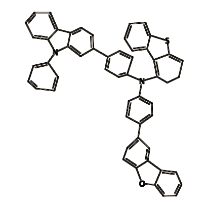 C1=c2sc3ccccc3c2=C(N(c2ccc(-c3ccc4oc5ccccc5c4c3)cc2)c2ccc(-c3ccc4c5ccccc5n(-c5ccccc5)c4c3)cc2)CC1